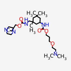 CN(C)CCOCCCOC(=O)NC1CC(C)(C)CC(C)(CNC(=O)OCC2CN3CCN2CC3)C1